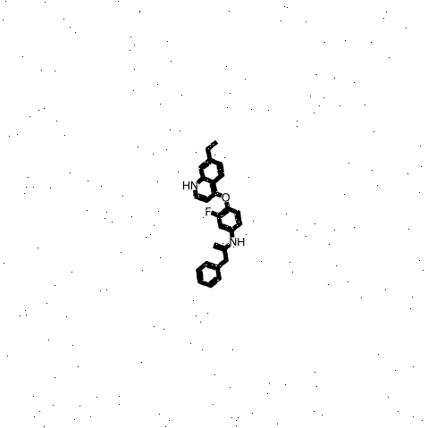 C=C(Cc1ccccc1)Nc1ccc(OC2=C3C=CC(CC)=CC3NC=C2)c(F)c1